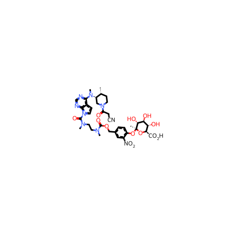 C[C@@H]1CCN(C(=O)CC#N)C[C@@H]1N(C)c1ncnc2c1ccn2C(=O)N(C)CCN(C)C(=O)OCc1ccc(O[C@]2(C)O[C@H](C(=O)O)[C@@H](O)[C@H](O)[C@H]2O)c([N+](=O)[O-])c1